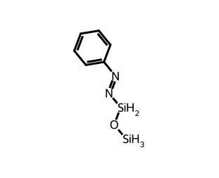 [SiH3]O[SiH2]N=Nc1ccccc1